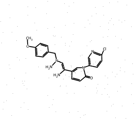 COc1ccc(CN(N)/C=C(\N)c2ccc(=O)n(-c3ccc(Cl)nc3)c2)cc1